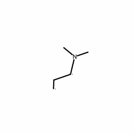 [CH2]C[CH]N(C)C